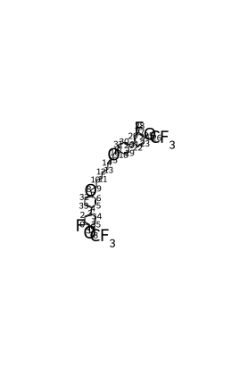 Fc1cc(-c2ccc(OCCCCCCCOc3ccc(-c4ccc(OC(F)(F)F)c(F)c4)cc3)cc2)ccc1OC(F)(F)F